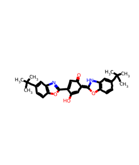 CC(C)(C)c1ccc2c(c1)N/C(=C1/C=C(O)C(c3nc4cc(C(C)(C)C)ccc4o3)=CC1=O)O2